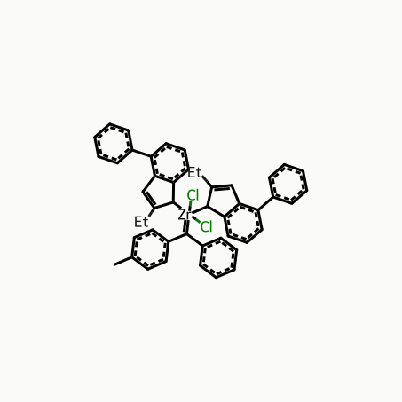 CCC1=Cc2c(-c3ccccc3)cccc2[CH]1[Zr]([Cl])([Cl])(=[C](c1ccccc1)c1ccc(C)cc1)[CH]1C(CC)=Cc2c(-c3ccccc3)cccc21